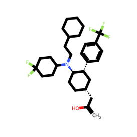 C=C(O)C[C@@H]1CC[C@@H](N(CCC2CCCCC2)C2CCC(F)(F)CC2)[C@H](c2ccc(C(F)(F)F)cc2)C1